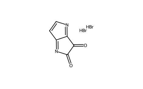 Br.Br.O=c1nc2ccnc-2c1=O